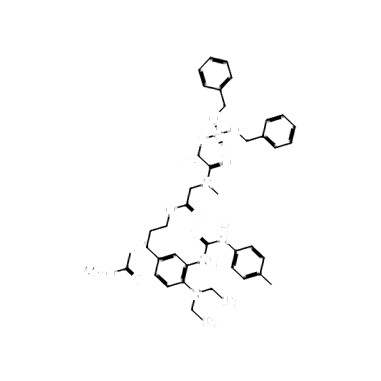 COC(=O)C[C@H](CCOC(=O)CN(C)C(=O)[C@H](C)OP(=O)(OCc1ccccc1)OCc1ccccc1)c1ccc(N(CC(C)C)CC(C)C)c(NC(=O)Nc2ccc(C)cc2)c1